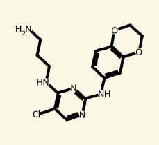 NCCCNc1nc(Nc2ccc3c(c2)OCCO3)ncc1Cl